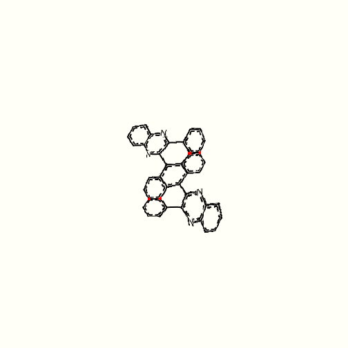 c1ccc(-c2nc3ccccc3nc2-c2c3ccccc3c(-c3nc4ccccc4nc3-c3ccccc3)c3ccccc23)cc1